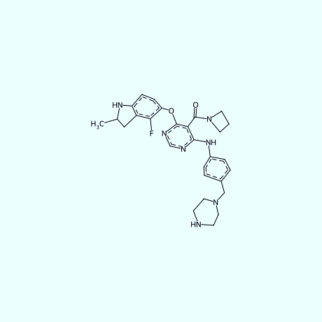 CC1Cc2c(ccc(Oc3ncnc(Nc4ccc(CN5CCNCC5)cc4)c3C(=O)N3CCC3)c2F)N1